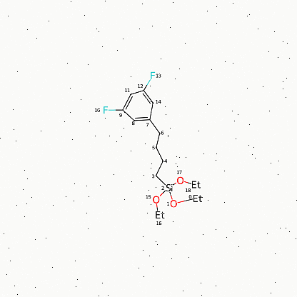 CCO[Si](CCCCc1cc(F)cc(F)c1)(OCC)OCC